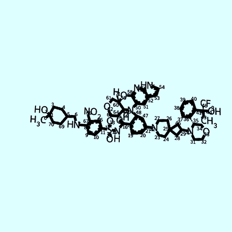 CC1(O)CCC(CNc2ccc(S(=O)(=O)NC(=O)c3ccc(N4CCC5(CC4)CC(N4CCOC[C@H]4c4ccccc4[C@](C)(O)C(F)(F)F)C5)cc3N3c4cc5cc[nH]c5nc4O[C@H]4COCC[C@@H]43)cc2[N+](=O)[O-])CC1